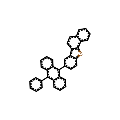 c1ccc(-c2c3ccccc3c(-c3ccc4sc5c6ccccc6ccc5c4c3)c3ccccc23)cc1